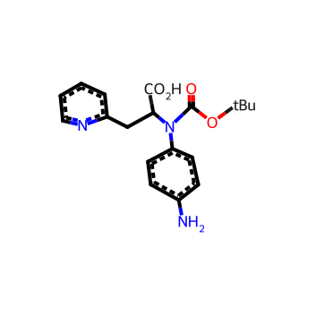 CC(C)(C)OC(=O)N(c1ccc(N)cc1)C(Cc1ccccn1)C(=O)O